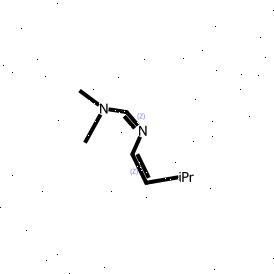 CC(C)/C=C\N=C/N(C)C